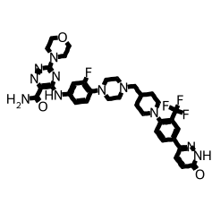 NC(=O)c1nnc(N2CCOCC2)nc1Nc1ccc(N2CCN(CC3CCN(c4ccc(-c5ccc(=O)[nH]n5)cc4C(F)(F)F)CC3)CC2)c(F)c1